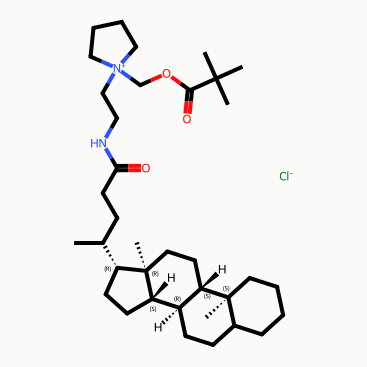 CC(CCC(=O)NCC[N+]1(COC(=O)C(C)(C)C)CCCC1)[C@H]1CC[C@H]2[C@@H]3CCC4CCCC[C@]4(C)[C@H]3CC[C@]12C.[Cl-]